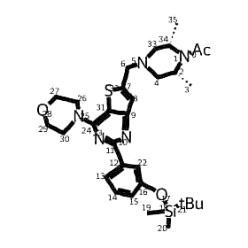 CC(=O)N1[C@H](C)CN(Cc2cc3nc(-c4cccc(O[Si](C)(C)C(C)(C)C)c4)nc(N4CCOCC4)c3s2)C[C@@H]1C